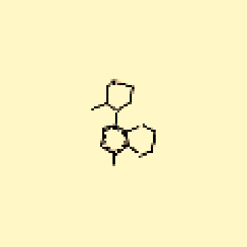 Cc1ccc(N2CCNCC2C)c2c1OCCO2